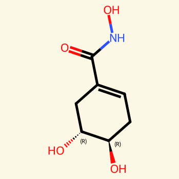 O=C(NO)C1=CC[C@@H](O)[C@H](O)C1